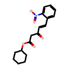 O=C(C=Cc1ccccc1[N+](=O)[O-])CC(=O)OC1CCCCC1